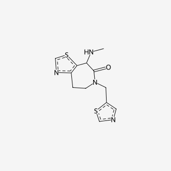 CNC1C(=O)N(Cc2cncs2)CCc2ncsc21